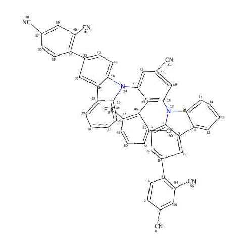 N#Cc1ccc(-c2ccc3c(c2)c2ccccc2n3-c2cc(C#N)cc(-n3c4ccccc4c4cc(-c5ccc(C#N)cc5C#N)ccc43)c2-c2c(C(F)(F)F)cccc2C(F)(F)F)c(C#N)c1